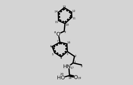 CC(Cc1cccc(OCc2ccccc2)c1)NC(=O)O